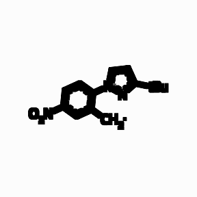 [CH2]c1cc([N+](=O)[O-])ccc1-n1ccc(C(C)(C)C)n1